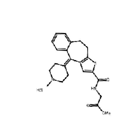 COC(=O)CNC(=O)c1cc2c(s1)CCc1ccccc1C2=C1CCN(C)CC1.Cl